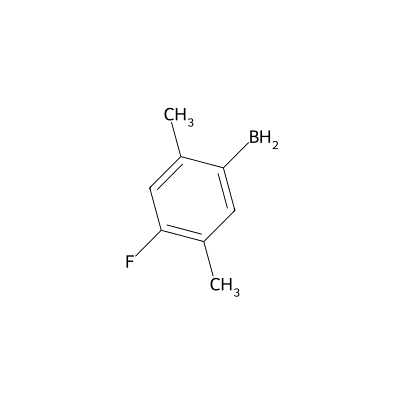 Bc1cc(C)c(F)cc1C